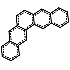 [c]1ccc2cc3ccc4cc5ccccc5cc4c3cc2c1